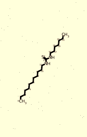 CCCCCCCCCCCCNC(=S)NCCCCCCC